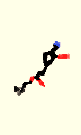 CCCOC(=O)/C=C/c1ccc(C#N)c(O)c1